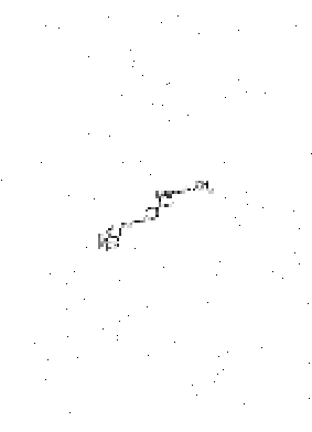 CCCCC[SiH]1CCC(C2CCC(CCCCc3ccc(C(F)(F)F)c(F)c3)CC2)CC1